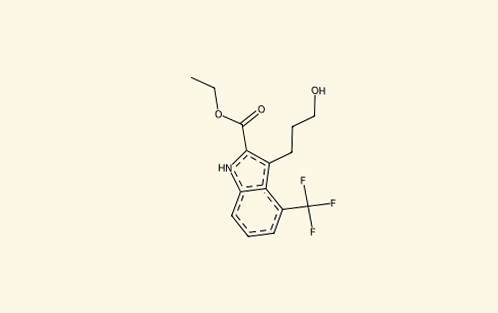 CCOC(=O)c1[nH]c2cccc(C(F)(F)F)c2c1CCCO